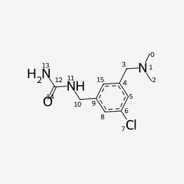 CN(C)Cc1cc(Cl)cc(CNC(N)=O)c1